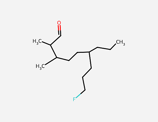 CCCC(CCCF)CCC(C)C(C)C=O